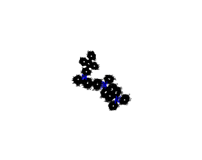 c1ccc(-c2c3ccccc3c(-c3ccc(-n4c5ccccc5c5ccc(-c6ccc(N(c7ccccc7)c7ccc8ccc9c(N(c%10ccccc%10)c%10ccccc%10)ccc%10ccc7c8c%109)cc6)cc54)cc3)c3ccccc23)cc1